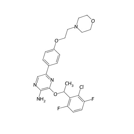 CC(Oc1nc(-c2ccc(OCCN3CCOCC3)cc2)cnc1N)c1c(F)ccc(F)c1Cl